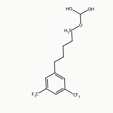 OC(O)O[SiH2]CCCCc1cc(C(F)(F)F)cc(C(F)(F)F)c1